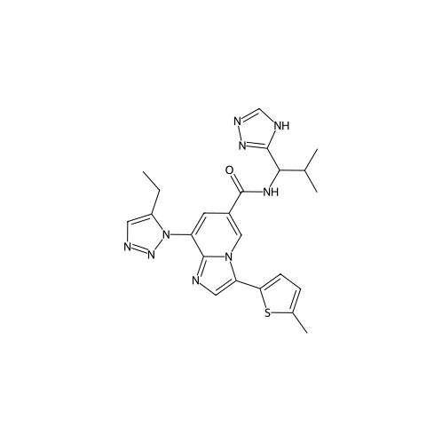 CCc1cnnn1-c1cc(C(=O)NC(c2nnc[nH]2)C(C)C)cn2c(-c3ccc(C)s3)cnc12